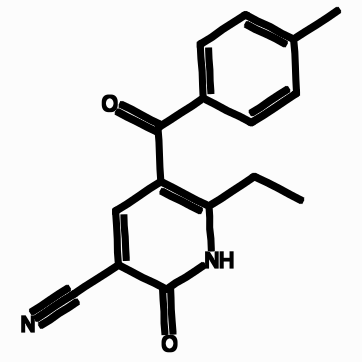 CCc1[nH]c(=O)c(C#N)cc1C(=O)c1ccc(C)cc1